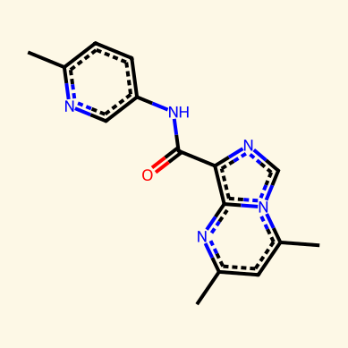 Cc1ccc(NC(=O)c2ncn3c(C)cc(C)nc23)cn1